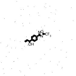 C=CC(O)c1ccc(-c2noc(C(F)(F)F)n2)cc1